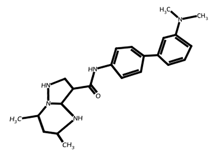 CC1CC(C)N2NCC(C(=O)Nc3ccc(-c4cccc(N(C)C)c4)cc3)C2N1